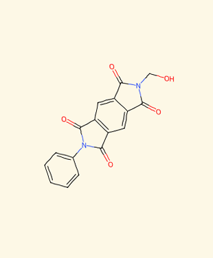 O=c1c2cc3c(=O)n(-c4ccccc4)c(=O)c3cc2c(=O)n1CO